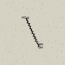 O=C(O)CCCCCCCCCCCCCCCCCOCC(O)CO